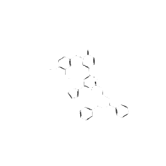 COc1ccc(Cn2cc(-c3cc(-c4cccs4)nc(SCCC(OCc4ccccc4)c4ccccc4)n3)ccc2=O)cc1OC